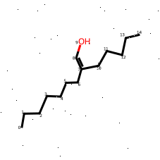 CCCCCCCC(=CO)CCCCC